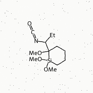 CCC(N=C=O)C1(OC)CCCC[Si]1(OC)OC